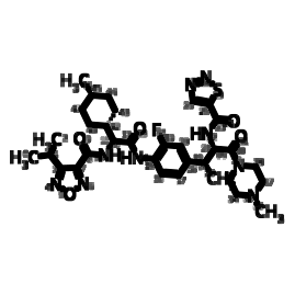 CC(C)c1nonc1C(=O)N[C@H](C(=O)Nc1ccc([C@H](C)[C@@H](NC(=O)c2cnns2)C(=O)N2CCN(C)CC2)cc1F)[C@H]1CC[C@H](C)CC1